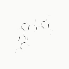 CCC(=O)c1ccc(-c2cc(NC(=O)c3cc(OC)cc(OC)c3)ccc2C)nc1F